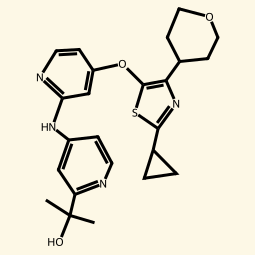 CC(C)(O)c1cc(Nc2cc(Oc3sc(C4CC4)nc3C3CCOCC3)ccn2)ccn1